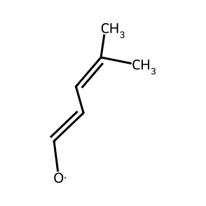 CC(C)=C/C=C/[O]